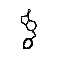 O=C1CCC2CN(Cc3ccccc3)CCN12